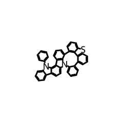 c1ccc(-n2c3ccccc3c3ccc4c(c5cccc6c7cccc8sc9cccc(c%10ccccc%10n4c65)c9c87)c32)cc1